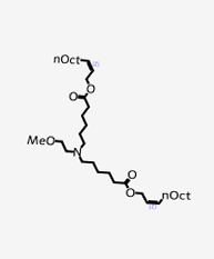 CCCCCCCC/C=C\COC(=O)CCCCCN(CCCCCC(=O)OC/C=C\CCCCCCCC)CCOC